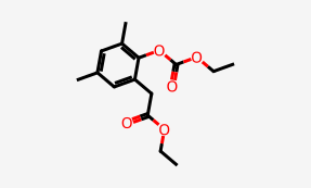 CCOC(=O)Cc1cc(C)cc(C)c1OC(=O)OCC